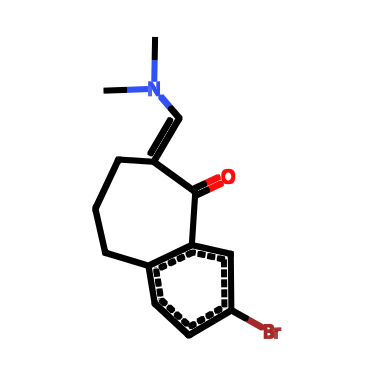 CN(C)/C=C1\CCCc2ccc(Br)cc2C1=O